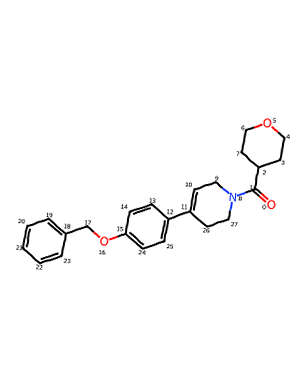 O=C(C1CCOCC1)N1CC=C(c2ccc(OCc3ccccc3)cc2)CC1